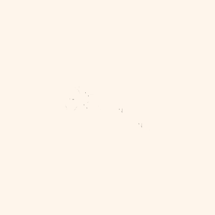 Cc1cccc2c(=O)[nH]c(CSC3CCN(CCCN)CC3)nc12